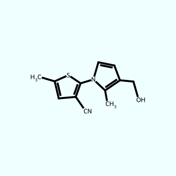 Cc1cc(C#N)c(-n2ccc(CO)c2C)s1